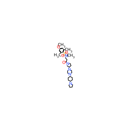 COc1cc(C)c(S(=O)(=O)N(C)CCC(=O)N2CCC(N3CCN([C@H]4CC[C@@H](N5CCCC5)CC4)CC3)C2)c(C)c1